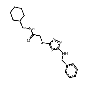 O=C(CSc1nnc(NCc2ccccc2)s1)NCC1CCCCC1